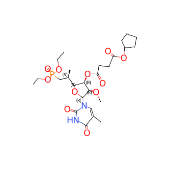 CCOP(=O)(C[C@@H](C)[C@H]1O[C@@H](n2cc(C)c(=O)[nH]c2=O)[C@H](OC)[C@@H]1OC(=O)CCC(=O)OC1CCCC1)OCC